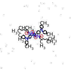 Cc1ccc(N(c2ccc(C)cc2)c2ccc(C3=C([O-])/C(=C4/C=CC(=[N+](c5ccc(C)cc5)c5ccc(C)cc5)C=C4NC(=O)CC(C)CCCC(C)C)C3=O)c(NC(=O)CC(C)CCCC(C)C)c2)cc1